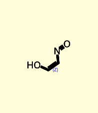 O=N/C=C\O